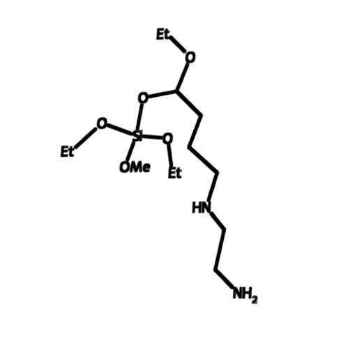 CCOC(CCCNCCN)O[Si](OC)(OCC)OCC